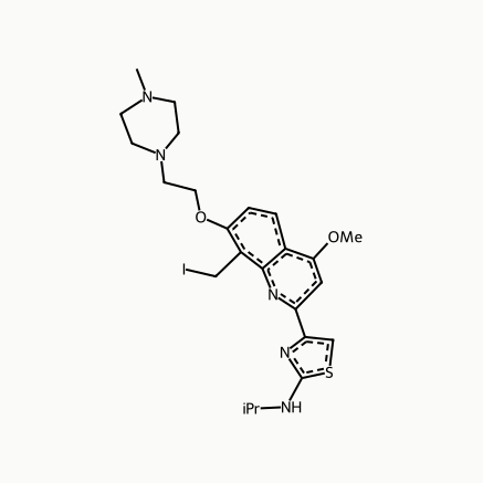 COc1cc(-c2csc(NC(C)C)n2)nc2c(CI)c(OCCN3CCN(C)CC3)ccc12